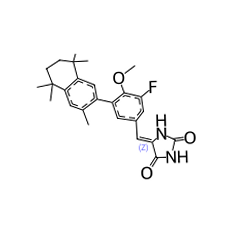 COc1c(F)cc(/C=C2\NC(=O)NC2=O)cc1-c1cc2c(cc1C)C(C)(C)CCC2(C)C